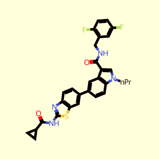 CCCn1cc(C(=O)NCc2cc(F)ccc2F)c2cc(-c3ccc4nc(NC(=O)C5CC5)sc4c3)ccc21